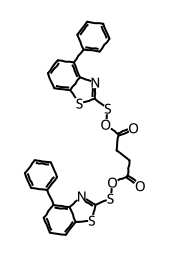 O=C(CCC(=O)OSc1nc2c(-c3ccccc3)cccc2s1)OSc1nc2c(-c3ccccc3)cccc2s1